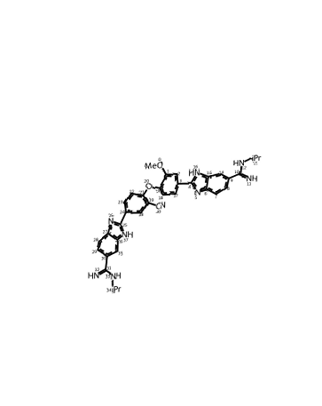 COc1cc(-c2nc3ccc(C(=N)NC(C)C)cc3[nH]2)ccc1Oc1ccc(-c2nc3ccc(C(=N)NC(C)C)cc3[nH]2)cc1C#N